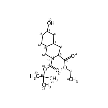 CCOC(=O)C1CC2CC(O)CCC2CN1C(=O)OC(C)(C)C